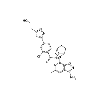 Cc1cc2c(N)noc2c(N2CC3CCC2C3NC(=O)c2ccc(-n3cc(CCO)nn3)cc2Cl)n1